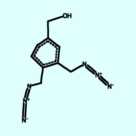 [N-]=[N+]=NCc1ccc(CO)cc1CN=[N+]=[N-]